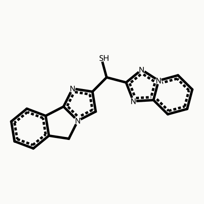 SC(c1cn2c(n1)-c1ccccc1C2)c1nc2ccccn2n1